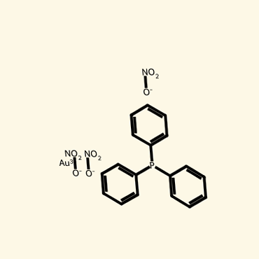 O=[N+]([O-])[O-].O=[N+]([O-])[O-].O=[N+]([O-])[O-].[Au+3].c1ccc(P(c2ccccc2)c2ccccc2)cc1